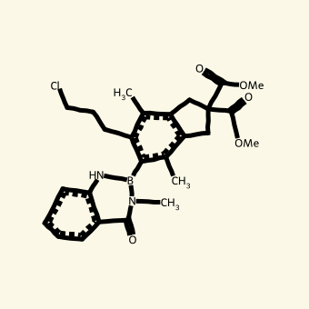 COC(=O)C1(C(=O)OC)Cc2c(C)c(CCCCl)c(B3Nc4ccccc4C(=O)N3C)c(C)c2C1